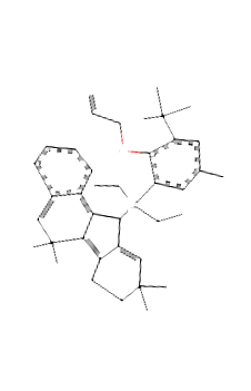 C=CCOc1c(C(C)(C)C)cc(C)cc1[Si](CC)(CC)C1C2=CC(C)(C)CCC2=C2C1=c1ccccc1=CC2(C)C